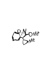 CO[C](C(OC)c1ccccc1)[N+](=O)[O-]